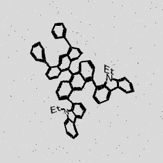 CCn1c2ccccc2c2cccc(-c3cccc4c(-c5c6cccc(-c7ccccc7)c6cc6c(-c7ccccc7)cccc56)c5cccc(-c6cccc7c8ccccc8n(CC)c67)c5cc34)c21